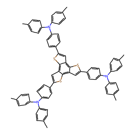 Cc1ccc(N(c2ccc(C)cc2)c2ccc(-c3cc4c(s3)c3cc(-c5ccc(N(c6ccc(C)cc6)c6ccc(C)cc6)cc5)sc3c3cc(-c5ccc(N(c6ccc(C)cc6)c6ccc(C)cc6)cc5)sc43)cc2)cc1